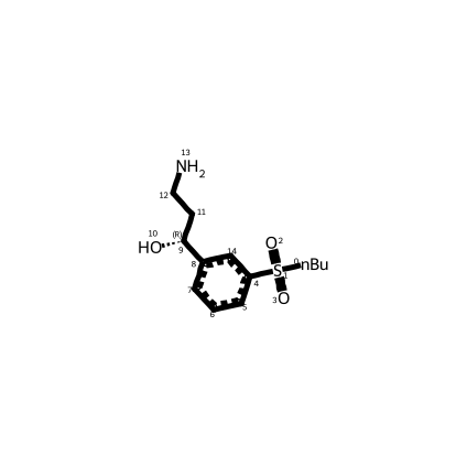 CCCCS(=O)(=O)c1cccc([C@H](O)CCN)c1